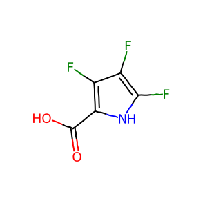 O=C(O)c1[nH]c(F)c(F)c1F